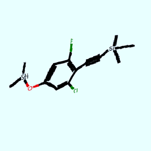 C[SiH](C)Oc1cc(F)c(C#C[Si](C)(C)C)c(Cl)c1